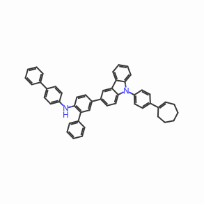 C1=C(c2ccc(-n3c4ccccc4c4cc(-c5ccc(Nc6ccc(-c7ccccc7)cc6)c(-c6ccccc6)c5)ccc43)cc2)CCCCC1